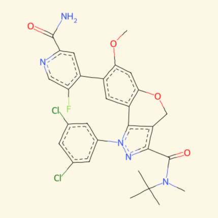 COc1cc2c(cc1-c1cc(C(N)=O)ncc1F)-c1c(c(C(=O)N(C)C(C)(C)C)nn1-c1cc(Cl)cc(Cl)c1)CO2